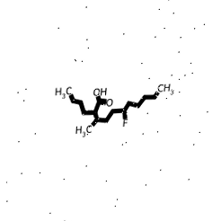 CCCCCC(F)CCC(C)C(CCCC)C(=O)O